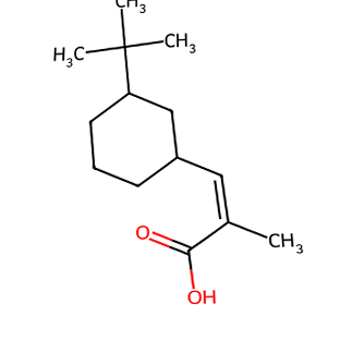 CC(=CC1CCCC(C(C)(C)C)C1)C(=O)O